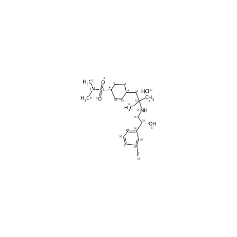 CN(C)S(=O)(=O)C1CCC(CC(C)(C)NC[C@H](O)c2cccc(F)c2)CC1.Cl